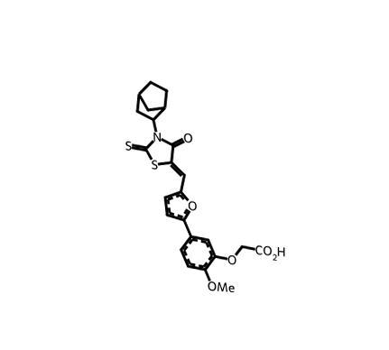 COc1ccc(-c2ccc(C=C3SC(=S)N(C4CC5CCC4C5)C3=O)o2)cc1OCC(=O)O